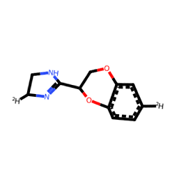 [2H]c1ccc2c(c1)OCC(C1=NC([2H])CN1)O2